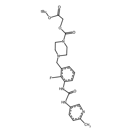 Cc1ccc(NC(=O)Nc2cccc(CN3CCN(C(=O)OCC(=O)OC(C)(C)C)CC3)c2F)cn1